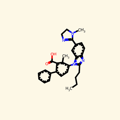 CCCCc1nc2ccc(C3=NCCN3C)cc2n1-c1ccc(-c2ccccc2)c(C(=O)O)c1C